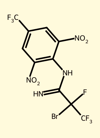 N=C(Nc1c([N+](=O)[O-])cc(C(F)(F)F)cc1[N+](=O)[O-])C(F)(Br)C(F)(F)F